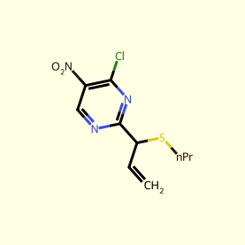 C=CC(SCCC)c1ncc([N+](=O)[O-])c(Cl)n1